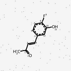 CC(=O)C=Cc1ccc(F)c(O)c1